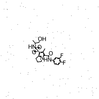 Cc1c(S(=O)(=O)NC(C)CO)c2n(c1C(=O)Nc1ccc(F)c(F)c1)CCC2